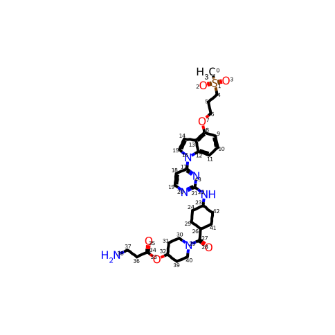 CS(=O)(=O)CCCOc1cccc2c1ccn2-c1ccnc(NC2CCC(C(=O)N3CCC(OC(=O)CCN)CC3)CC2)n1